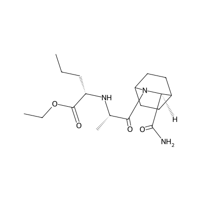 CCC[C@H](N[C@@H](C)C(=O)N1C2CCC(CC2)[C@H]1C(N)=O)C(=O)OCC